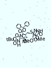 COC(Cn1c(SC=CC2=C(C(=O)OC(c3ccccc3)c3ccccc3)N3C(=O)C(NC(=O)OC(C)(C)C)C3[S+]([O-])C2)n[nH]c(=O)c1=O)OC